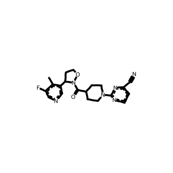 Cc1c(F)cncc1C1CCON1C(=O)C1CCN(c2nccc(C#N)n2)CC1